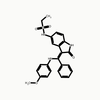 CCS(=O)(=O)Nc1ccc2c(c1)C(=C(Nc1ccc(OC)cc1)c1ccccc1)C(=O)N2